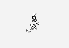 CN1C[C@@H]2CN(C(=O)c3cc4cc(Br)ccc4[nH]3)C[C@@H]2C1